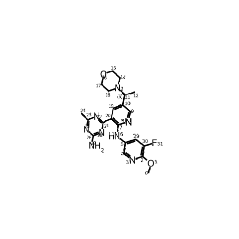 COc1ncc(Nc2ncc([C@H](C)N3CCOCC3)cc2-c2nc(C)nc(N)n2)cc1F